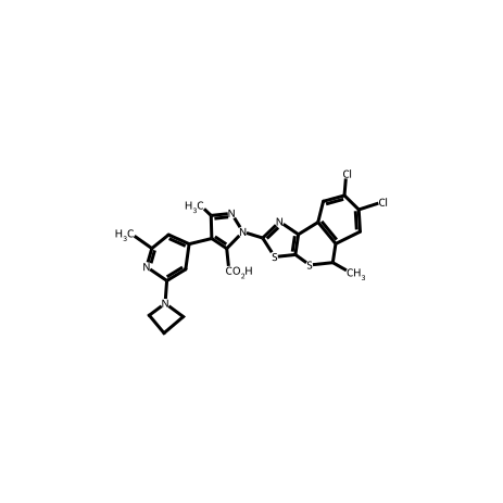 Cc1cc(-c2c(C)nn(-c3nc4c(s3)SC(C)c3cc(Cl)c(Cl)cc3-4)c2C(=O)O)cc(N2CCC2)n1